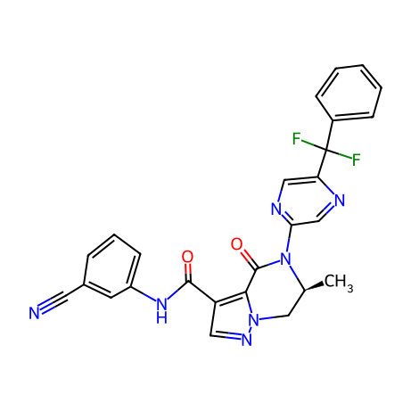 C[C@H]1Cn2ncc(C(=O)Nc3cccc(C#N)c3)c2C(=O)N1c1cnc(C(F)(F)c2ccccc2)cn1